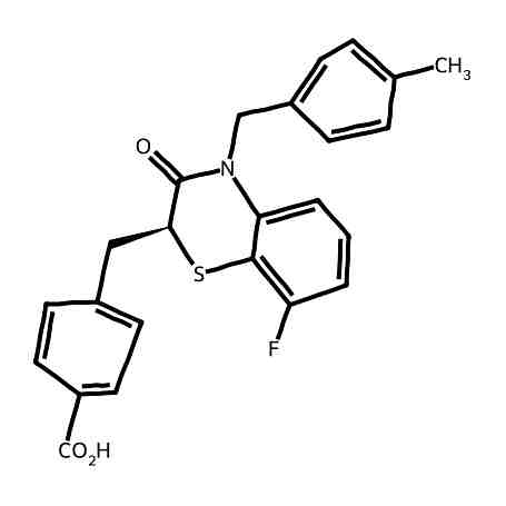 Cc1ccc(CN2C(=O)[C@H](Cc3ccc(C(=O)O)cc3)Sc3c(F)cccc32)cc1